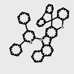 c1ccc(-c2cc(-c3ccccc3)nc(-n3c4cc5c(cc4c4ccc6ccccc6c43)Sc3ccccc3C53c4ccccc4-c4ccccc43)c2)cc1